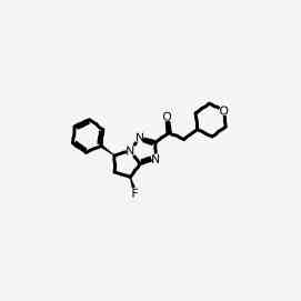 O=C(CC1CCOCC1)c1nc2n(n1)[C@H](c1ccccc1)C[C@@H]2F